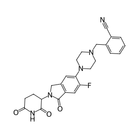 N#Cc1ccccc1CN1CCN(c2cc3c(cc2F)C(=O)N(C2CCC(=O)NC2=O)C3)CC1